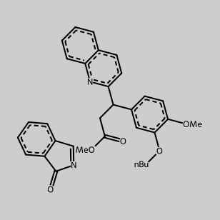 CCCCOc1cc(C(CC(=O)OC)c2ccc3ccccc3n2)ccc1OC.O=C1N=Cc2ccccc21